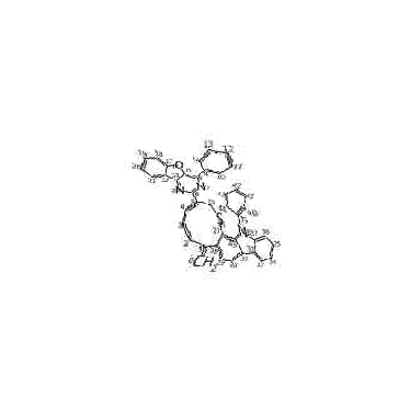 C=C1/C=C\C=C(\c2nc(-c3ccccc3)c3oc4ccccc4c3n2)CSc2c1ccc1c3ccccc3n(-c3ccccc3)c21